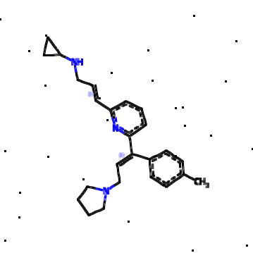 Cc1ccc(/C(=C\CN2CCCC2)c2cccc(/C=C/CNC3CC3)n2)cc1